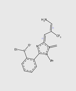 C=c1/c(=C\C(=C/N)C(F)(F)F)nc(-c2ccccc2[S+]([O-])CC)n1C(C)C